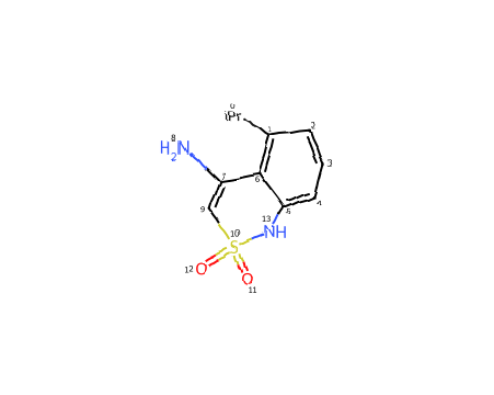 CC(C)c1cccc2c1C(N)=CS(=O)(=O)N2